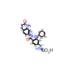 CN1C(=O)CCc2ccc(NC(=O)c3ccc(CNC(=O)O)cc3NC3CCCCC3)cc21